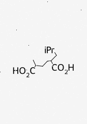 CC(C)CC(CCC(C)C(=O)O)C(=O)O